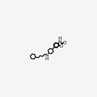 O=c1[nH]c2ccc(C3CCC(NCCCCC4CCCCC4)CC3)cc2o1